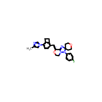 Cc1cn(-c2ccc(/C=C3\OCCN4C3=NC3(CCOCC3)N4c3ccc(F)cc3)c3c2CC3)cn1